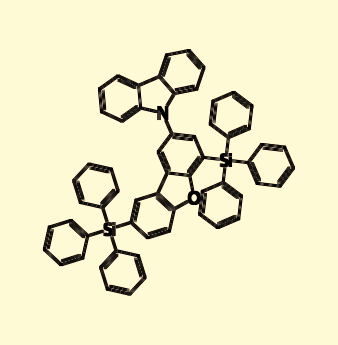 c1ccc([Si](c2ccccc2)(c2ccccc2)c2ccc3oc4c([Si](c5ccccc5)(c5ccccc5)c5ccccc5)cc(-n5c6ccccc6c6ccccc65)cc4c3c2)cc1